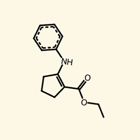 CCOC(=O)C1=C(Nc2ccccc2)CCC1